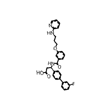 O=C(O)CC(NC(=O)c1cccc(OCCCNc2ccccn2)c1)c1ccc(-c2cccc(F)c2)cc1